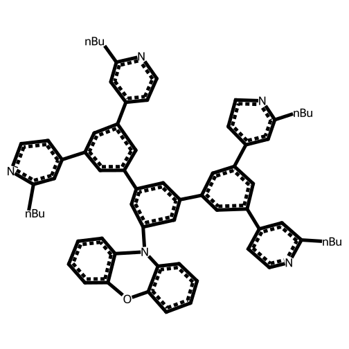 CCCCc1cc(-c2cc(-c3cc(-c4cc(-c5ccnc(CCCC)c5)cc(-c5ccnc(CCCC)c5)c4)cc(N4c5ccccc5Oc5ccccc54)c3)cc(-c3ccnc(CCCC)c3)c2)ccn1